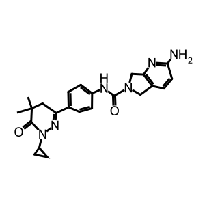 CC1(C)CC(c2ccc(NC(=O)N3Cc4ccc(N)nc4C3)cc2)=NN(C2CC2)C1=O